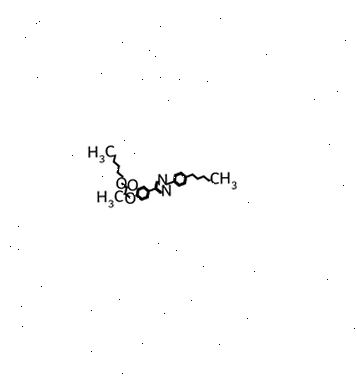 CCCCCCOC(=O)C(C)Oc1ccc(-c2cnc(-c3ccc(CCCCC)cc3)nc2)cc1